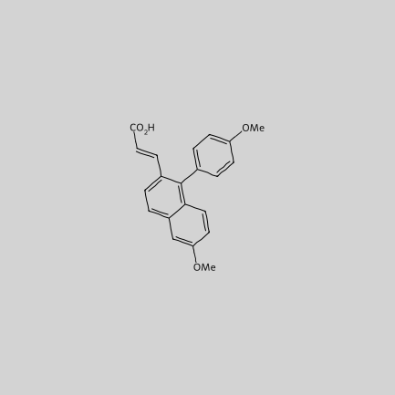 COc1ccc(-c2c(/C=C/C(=O)O)ccc3cc(OC)ccc23)cc1